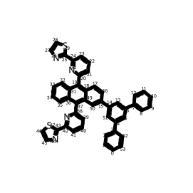 c1ccc(-c2cc(-c3ccccc3)cc(-c3ccc4c(-c5cccc(-c6nccs6)n5)c5ccccc5c(-c5cccc(-c6nccs6)n5)c4c3)c2)cc1